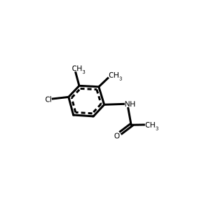 CC(=O)Nc1ccc(Cl)c(C)c1C